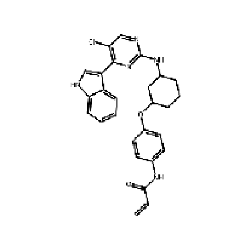 C=CC(=O)Nc1ccc(OC2CCCC(Nc3ncc(Cl)c(-c4c[nH]c5ccccc45)n3)C2)cc1